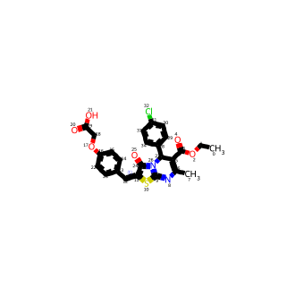 CCOC(=O)C1=C(C)N=c2s/c(=C/c3ccc(OCC(=O)O)cc3)c(=O)n2C1c1ccc(Cl)cc1